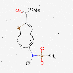 CCN(c1ccc2sc(C(=O)OC)cc2c1)S(C)(=O)=O